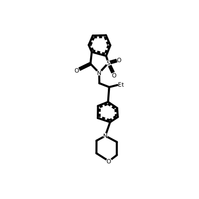 CCC(CN1C(=O)c2ccccc2S1(=O)=O)c1ccc(N2CCOCC2)cc1